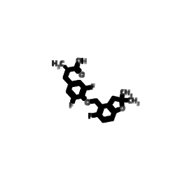 C[C@H](Cc1cc(F)c(OCc2c(F)ccc3c2CC(C)(C)O3)c(F)c1)C(=O)O